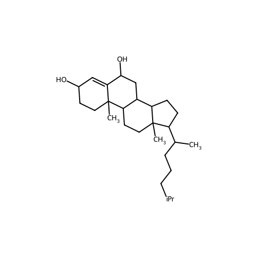 CC(C)CCCC(C)C1CCC2C3CC(O)C4=CC(O)CCC4(C)C3CCC12C